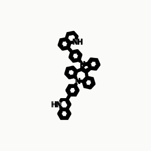 C1=Cc2cccc(-c3ccc(-n4c5c(c6ccccc64)-c4ccccc4N(c4ccc(C6=Cc7ccccc7NC6)cc4)c4ccccc4-5)cc3)c2NC1